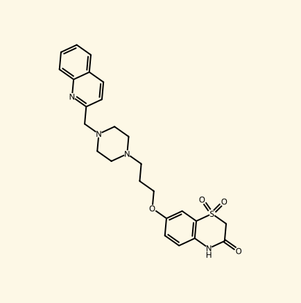 O=C1CS(=O)(=O)c2cc(OCCCN3CCN(Cc4ccc5ccccc5n4)CC3)ccc2N1